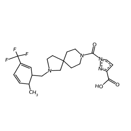 CC1C=CC(C(F)(F)F)=CC1CN1CCC2(CCN(C(=O)n3ccc(C(=O)O)n3)CC2)C1